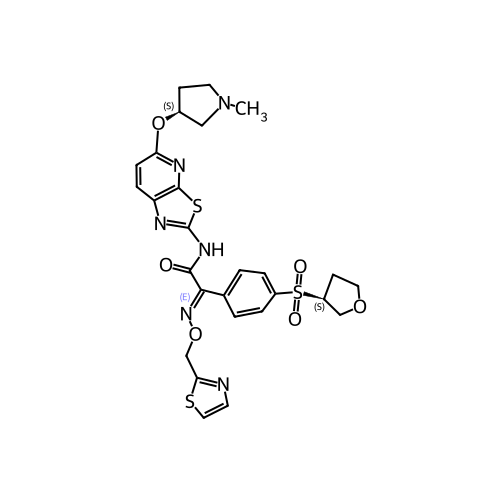 CN1CC[C@H](Oc2ccc3nc(NC(=O)/C(=N/OCc4nccs4)c4ccc(S(=O)(=O)[C@H]5CCOC5)cc4)sc3n2)C1